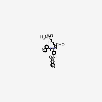 C/C(=C\C(=N/N(C=O)CCCCNC(=O)C(C)N)c1ccc(NC(=O)N2Cc3ccncc3C2)cc1)c1cccc2ncccc12